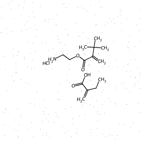 C=C(C(=O)OCCN)C(C)(C)C.C=C(CC)C(=O)O.Cl